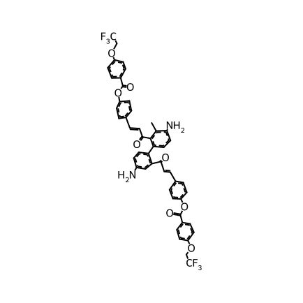 Cc1c(N)ccc(-c2ccc(N)cc2C(=O)C=Cc2ccc(OC(=O)c3ccc(OCC(F)(F)F)cc3)cc2)c1C(=O)C=Cc1ccc(OC(=O)c2ccc(OCC(F)(F)F)cc2)cc1